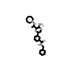 C/C(=N\N1CCCCCC1)c1nc(-c2cccc(C(=O)NCc3ccccc3)c2)cnc1N